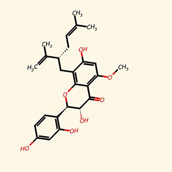 C=C(C)[C@H](CC=C(C)C)Cc1c(O)cc(OC)c2c1O[C@H](c1ccc(O)cc1O)[C@@H](O)C2=O